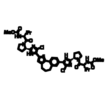 COC(=O)N[C@H](C(=O)N1CCC[C@H]1c1nc(Cl)c(-c2ccc3c(c2)CCCc2cc(-c4[nH]c([C@@H]5CCCN5C(=O)[C@@H](NC(=O)OC)C(C)C)nc4Cl)sc2-3)[nH]1)C(C)C